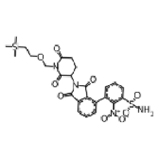 C[Si](C)(C)CCOCN1C(=O)CCC(N2C(=O)c3cccc(-c4cccc(S(N)(=O)=O)c4[N+](=O)[O-])c3C2=O)C1=O